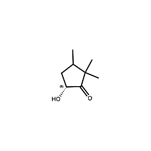 CC1C[C@@H](O)C(=O)C1(C)C